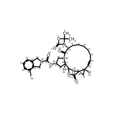 CC1(C)OC(=O)N1[C@H]1CCCCC/C=C\[C@@H]2C[C@@]23NC(OC3=O)[C@@H]2C[C@@H](OC(=O)N3Cc4cccc(F)c4C3)CN2C1=O